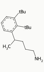 CC(CCCN)c1cccc(C(C)(C)C)c1C(C)(C)C